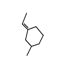 CC=C1CCCC(C)C1